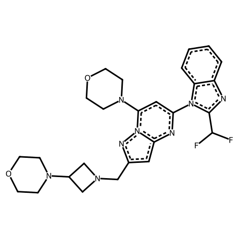 FC(F)c1nc2ccccc2n1-c1cc(N2CCOCC2)n2nc(CN3CC(N4CCOCC4)C3)cc2n1